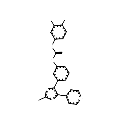 Cc1nc(-c2ccncc2)c(-c2cccc(NC(=O)Nc3ccc(Cl)c(C(F)(F)F)c3)c2)s1